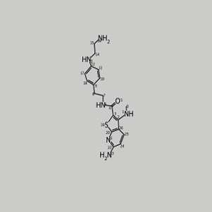 CNc1c(C(=O)NCCc2ccc(NCCN)cc2)sc2nc(N)ccc12